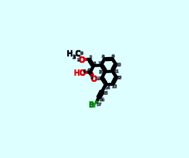 COC=C(C(=O)O)c1cccc2ccc(C#CBr)cc12